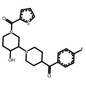 O=C(c1ccc(F)cc1)C1CCN(C2CN(C(=O)c3cccs3)CCC2O)CC1